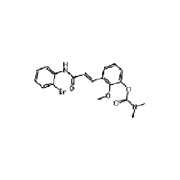 COc1c(C=CC(=O)Nc2ccccc2Br)cccc1OC(=O)N(C)C